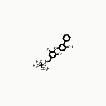 CC(C)(ON=Cc1cc(Br)c(Oc2ccc(O)c(-c3ccccc3)c2)c(Br)c1)C(=O)O